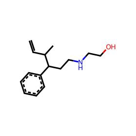 C=CC(C)C(CCNCCO)c1ccccc1